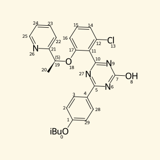 CC(C)COc1ccc(-c2nc(O)nc(-c3c(Cl)cccc3O[C@@H](C)c3ccccn3)n2)cc1